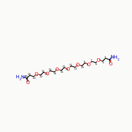 NC(=O)CCOCCOCCOCCOCCOCCOCCOCCC(N)=O